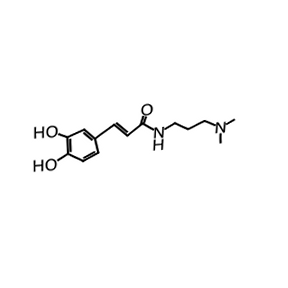 CN(C)CCCNC(=O)C=Cc1ccc(O)c(O)c1